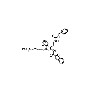 CC(C)(C)OC(=O)N(CCCCCC(=O)O)C[C@H](CCCNC(=O)OCc1ccccc1)NC(=O)c1cc2ccccc2o1